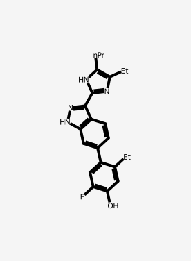 CCCc1[nH]c(-c2n[nH]c3cc(-c4cc(F)c(O)cc4CC)ccc23)nc1CC